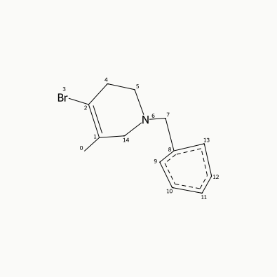 CC1=C(Br)CCN(Cc2ccccc2)C1